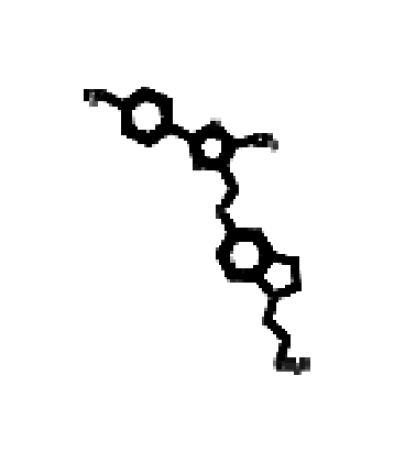 Cc1nc(-c2ccc(C(F)(F)F)cc2)sc1CSc1ccc2c(c1)CCN2CCC(=O)O